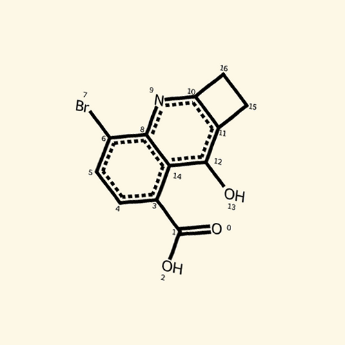 O=C(O)c1ccc(Br)c2nc3c(c(O)c12)CC3